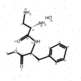 COC(=O)[C@H](Cc1ccccc1)NC(=O)[C@@H](N)CN.Cl